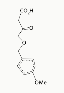 COc1ccc(COCC(=O)CC(=O)O)cc1